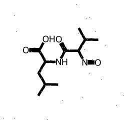 CC(C)CC(NC(=O)C(N=O)C(C)C)C(=O)O